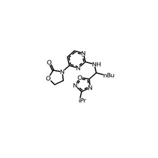 CCCCC(Nc1nccc(N2CCOC2=O)n1)c1nc(C(C)C)no1